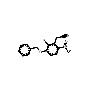 N#CCc1c([N+](=O)[O-])ccc(OCc2ccccc2)c1F